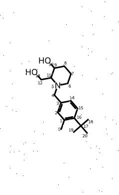 Cc1cc(CN2CCCC(O)C2CO)ccc1C(C)(C)C